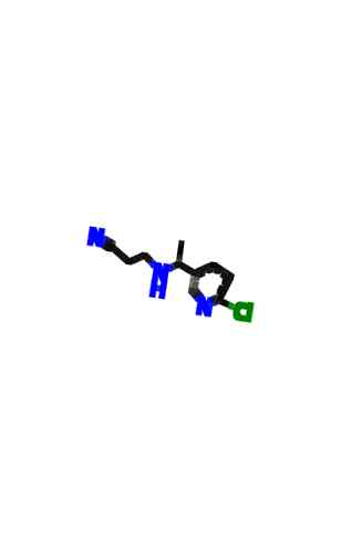 CC(NCCC#N)c1ccc(Cl)nc1